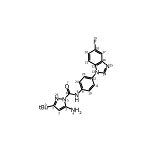 CC(C)(C)c1cc(N)n(C(=O)Nc2ccc(-n3cnc4cc(F)ccc43)cc2)n1